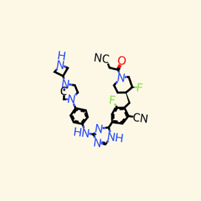 N#CCC(=O)N1CC[C@H](Cc2c(F)cc(C3N=C(Nc4ccc(N5CCN(C6CNC6)CC5)cc4)N=CN3)cc2C#N)[C@H](F)C1